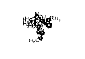 COc1ccc(C(OC[C@H]2O[C@@H](n3ccc4c(-c5ccc(C)s5)ccnc43)C[C@@H]2OP(O)N(C(C)C)C(C)(C)CCC#N)(c2ccccc2)c2ccc(OC)cc2)cc1